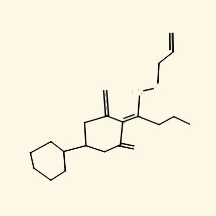 C=CCONC(CCC)=C1C(=O)CC(C2CCCCC2)CC1=O